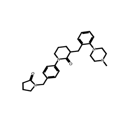 CN1CCN(c2ccccc2CC2CCCN(c3ccc(CN4CCCC4=O)cc3)C2=O)CC1